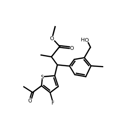 COC(=O)C(C)C(c1ccc(C)c(CO)c1)c1cc(F)c(C(C)=O)s1